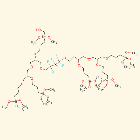 CO[Si](CO)(CCCOC(COCC(COCCC[Si](OC)(OC)OC)OCCC[Si](OC)(OC)OC)COCC(F)(F)C(F)(F)C(F)(F)OCCC(COCC(COCCC[Si](OC)(OC)OC)OCCC[Si](OC)(OC)OC)OCCC[Si](OC)(OC)OC)OC